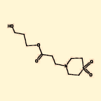 O=C(CCN1CCS(=O)(=O)CC1)OCCCO